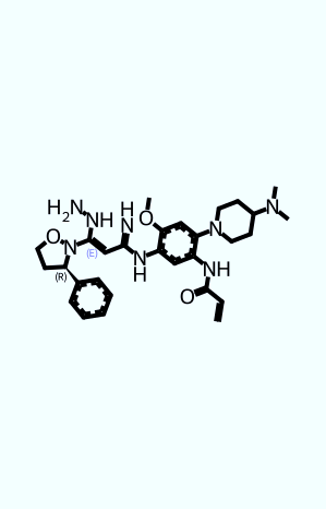 C=CC(=O)Nc1cc(NC(=N)/C=C(\NN)N2OCC[C@@H]2c2ccccc2)c(OC)cc1N1CCC(N(C)C)CC1